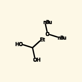 CCC(O)O.CCCCOCCCC